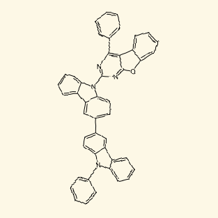 c1ccc(-c2nc(-n3c4ccccc4c4cc(-c5ccc6c(c5)c5ccccc5n6-c5ccccc5)ccc43)nc3oc4ccccc4c23)cc1